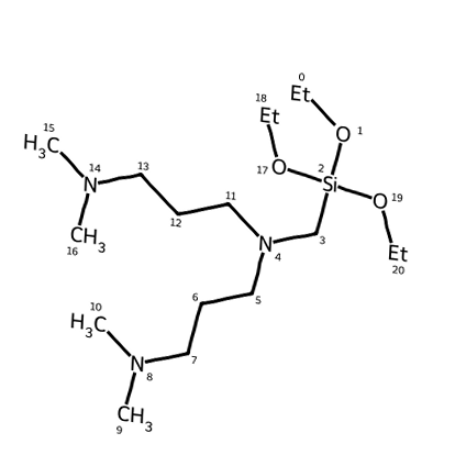 CCO[Si](CN(CCCN(C)C)CCCN(C)C)(OCC)OCC